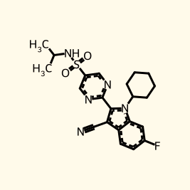 CC(C)NS(=O)(=O)c1cnc(-c2c(C#N)c3ccc(F)cc3n2C2CCCCC2)nc1